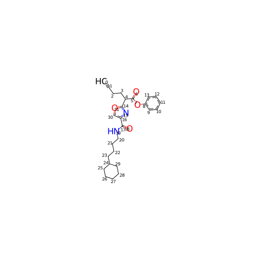 C#CCCC(C(=O)Oc1ccccc1)c1nc(C(=O)NCCCCC2CCCCC2)co1